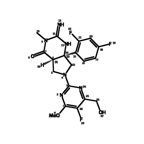 COc1nc(N2C[C@H]3C(=O)N(C)C(=N)N[C@@]3(c3ccc(F)cc3F)C2)nc(CO)c1F